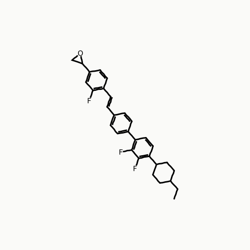 CCC1CCC(c2ccc(-c3ccc(/C=C/c4ccc(C5CO5)cc4F)cc3)c(F)c2F)CC1